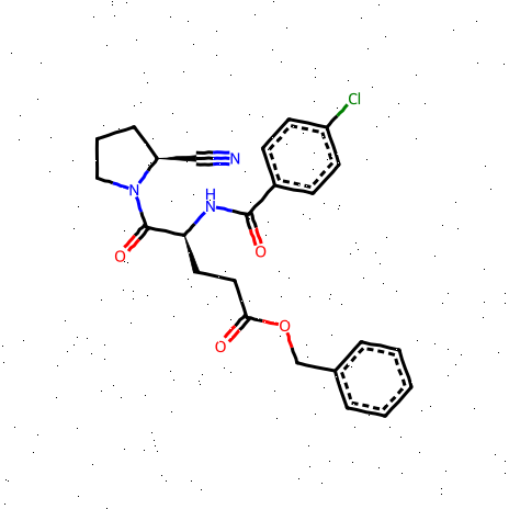 N#C[C@@H]1CCCN1C(=O)[C@H](CCC(=O)OCc1ccccc1)NC(=O)c1ccc(Cl)cc1